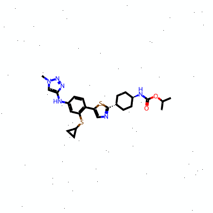 CC(C)OC(=O)N[C@H]1CC[C@H](c2ncc(-c3ccc(Nc4cn(C)nn4)cc3SC3CC3)s2)CC1